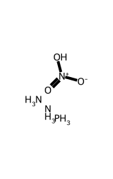 N.N.O=[N+]([O-])O.P